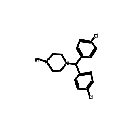 CC(C)N1CCN(C(c2ccc(Cl)cc2)c2ccc(Cl)cc2)CC1